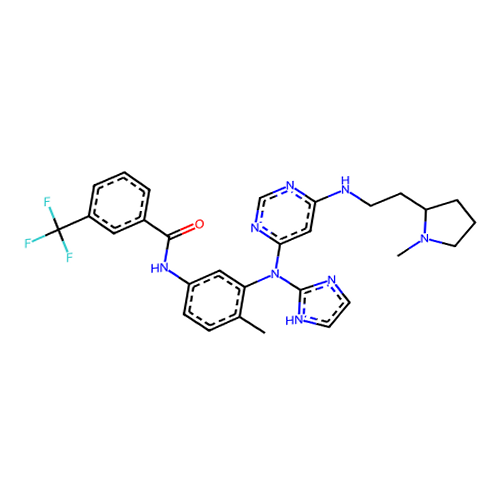 Cc1ccc(NC(=O)c2cccc(C(F)(F)F)c2)cc1N(c1cc(NCCC2CCCN2C)ncn1)c1ncc[nH]1